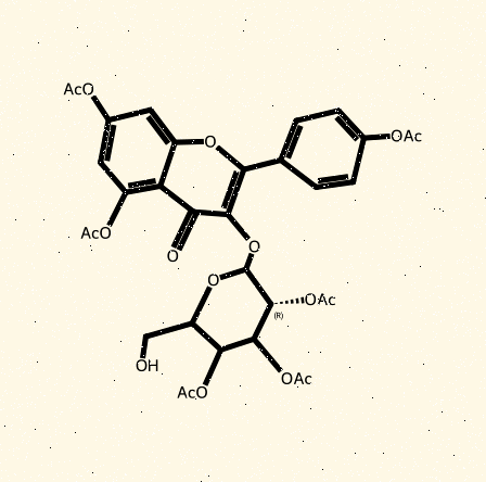 CC(=O)Oc1ccc(-c2oc3cc(OC(C)=O)cc(OC(C)=O)c3c(=O)c2OC2OC(CO)C(OC(C)=O)C(OC(C)=O)[C@H]2OC(C)=O)cc1